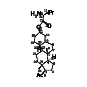 CC(=O)[C@@H]1CC[C@@H]2[C@@]3(C)CCC4=C[C@H](OC(=O)[C@@H](N)C(C)C)CC[C@@]4(C)[C@@H]3CC[C@]21C